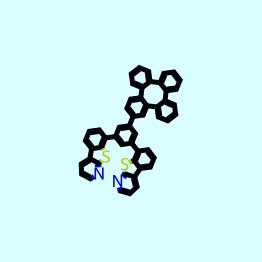 c1ccc2c(c1)-c1ccccc1-c1ccc(-c3cc(-c4cccc5c4sc4ncccc45)cc(-c4cccc5c4sc4ncccc45)c3)cc1-c1ccccc1-2